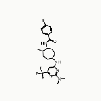 CC1CC[C@H](Nc2cc(C(F)(F)F)nc(N(C)C)n2)CC[C@@H]1NC(=O)c1ccc(F)cc1